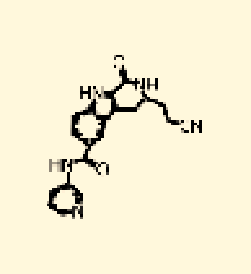 N#CCCC1Cc2c([nH]c3ccc(C(=O)Nc4cccnc4)cc23)C(=O)N1